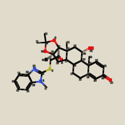 Cn1c(SCC(=O)[C@@]23OC(C)(C)O[C@@H]2CC2C4CCC5=CC(=O)C=CC5(C)C4[C@@H](O)CC23C)nc2ccccc21